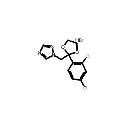 Br.Clc1ccc(C2(Cn3cncn3)OCCO2)c(Cl)c1